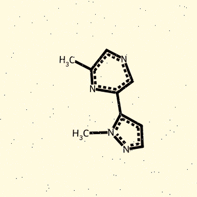 Cc1cncc(-c2ccnn2C)n1